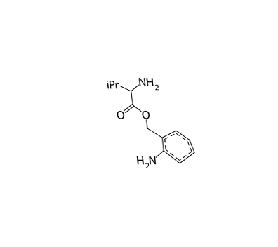 CC(C)C(N)C(=O)OCc1ccccc1N